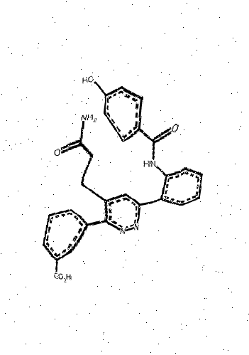 NC(=O)CCc1cc(-c2ccccc2NC(=O)c2ccc(O)cc2)nnc1-c1cccc(C(=O)O)c1